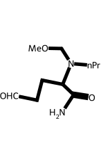 CCCN(COC)C(CCC=O)C(N)=O